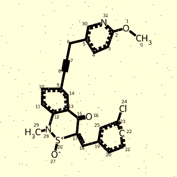 COc1ccc(CC#Cc2ccc3c(c2)C(=O)/C(=C\c2cccc(Cl)c2)[S+]([O-])N3C)cn1